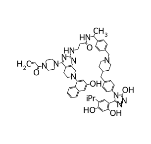 C=CC(=O)N1CCN(c2nc(NCCC(=O)NC(C)c3ccc(CN4CCC(Cc5ccc(-n6c(O)nnc6-c6cc(C(C)C)c(O)cc6O)cc5)CC4)cc3)nc3c2CCN(c2cc(O)cc4ccccc24)C3)CC1